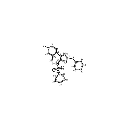 Cc1ccc(-c2nc(Cc3ccccc3)oc2NS(=O)(=O)c2ccccc2)c(C)c1